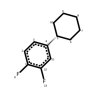 Fc1ccc([C@H]2[CH]CCCC2)cc1F